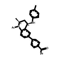 CC(=O)N1c2ccc(-c3ccc(C(=O)C(C)C)cc3)cc2[C@H](Nc2ccc(C)cc2)C[C@@H]1C